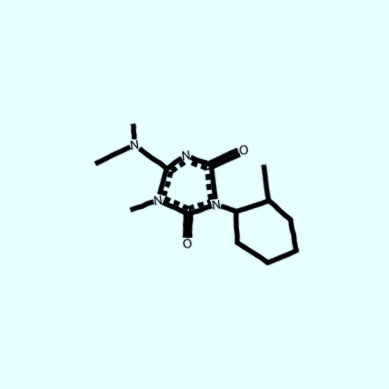 CC1CCCCC1n1c(=O)nc(N(C)C)n(C)c1=O